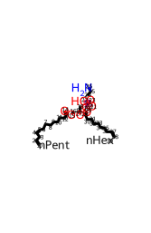 CCCCC/C=C\C/C=C\CCCCCCCC(=O)OC[C@H](COP(=O)(O)OCCN)OC(=O)CCCCCCC/C=C\CCCCCC